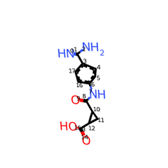 N=C(N)c1ccc(NC(=O)C2CC2C(=O)O)cc1